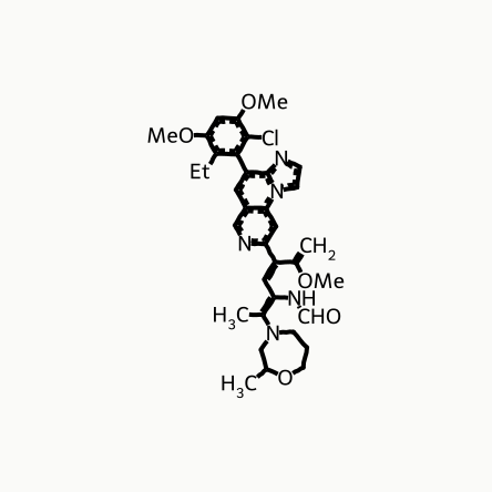 C=C(OC)/C(=C\C(NC=O)=C(/C)N1CCCOC(C)C1)c1cc2c(cn1)cc(-c1c(Cl)c(OC)cc(OC)c1CC)c1nccn12